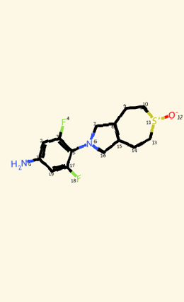 Nc1cc(F)c(N2CC3CC[S+]([O-])CCC3C2)c(F)c1